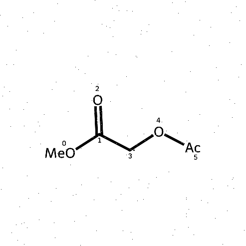 COC(=O)[CH]OC(C)=O